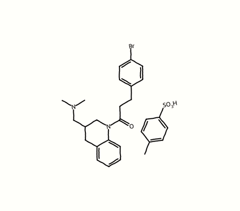 CN(C)CC1Cc2ccccc2N(C(=O)CCc2ccc(Br)cc2)C1.Cc1ccc(S(=O)(=O)O)cc1